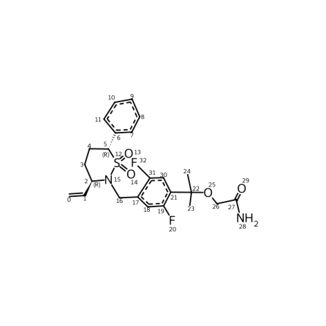 C=C[C@H]1CC[C@H](c2ccccc2)S(=O)(=O)N1Cc1cc(F)c(C(C)(C)OCC(N)=O)cc1F